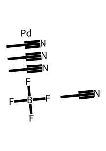 CC#N.CC#N.CC#N.CC#N.F[B-](F)(F)F.[Pd]